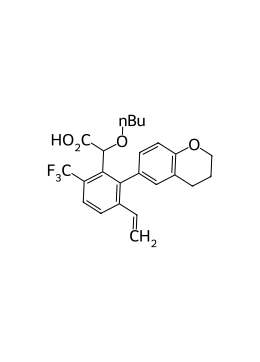 C=Cc1ccc(C(F)(F)F)c(C(OCCCC)C(=O)O)c1-c1ccc2c(c1)CCCO2